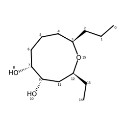 CCC[C@@H]1CCC[C@@H](O)[C@@H](O)C[C@H](CC)O1